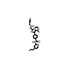 CC#CCN[C@@H](C)c1nc(-c2ccc(C(=O)Nc3cc(CCC)ccn3)cc2)c2c(C)nccn12